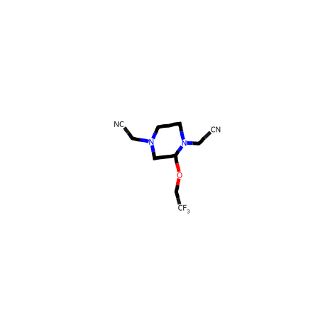 N#CCN1CCN(CC#N)C(OCC(F)(F)F)C1